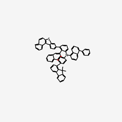 CC1(C)c2ccccc2-c2cccc(-c3ccc(N(c4cccc(-c5ccc6c(c5)sc5ccc7ccccc7c56)c4-c4ccc5ccccc5c4)c4cccc5c(-c6ccccc6)cccc45)cc3)c21